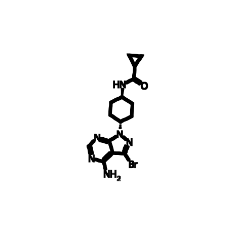 Nc1ncnc2c1c(Br)nn2[C@H]1CC[C@H](NC(=O)C2CC2)CC1